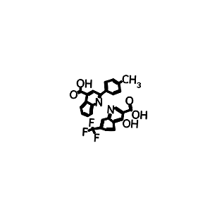 Cc1ccc(-c2cc(C(=O)O)c3ccccc3n2)cc1.O=C(O)c1cnc2cc(C(F)(F)F)ccc2c1O